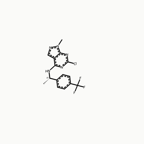 C[C@H](Nc1nc(Cl)nc2c1cnn2C)c1ccc(C(F)(F)F)cc1